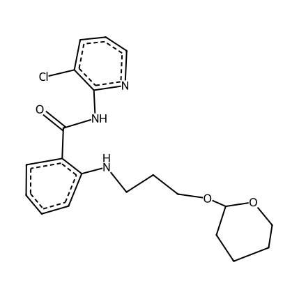 O=C(Nc1ncccc1Cl)c1ccccc1NCCCOC1CCCCO1